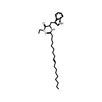 CCCCCCCCC=CCCCCCCCC(=O)NC(Cc1c[nH]c2ccccc12)C(=O)OCC